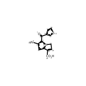 CCCc1cc2n(c1C(=O)c1ccsc1)CC=C2C(=O)O